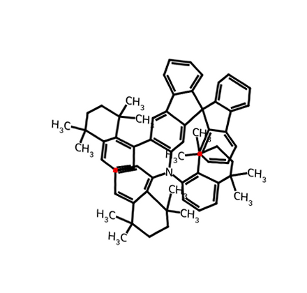 CC1(C)CCC(C)(C)c2c(-c3cc4c(cc3N(c3cccc5c3C(C)(C)CCC5(C)C)c3cccc5c3C(C)(C)CCC5(C)C)C3(c5ccccc5-c5ccccc53)c3ccccc3-4)cccc21